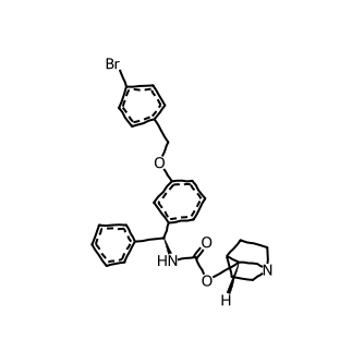 O=C(N[C@@H](c1ccccc1)c1cccc(OCc2ccc(Br)cc2)c1)O[C@H]1CN2CCC1CC2